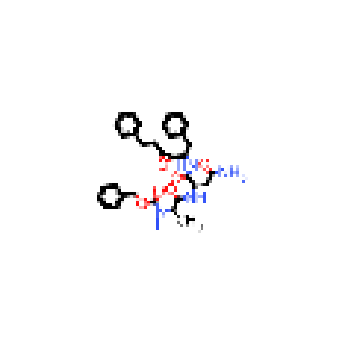 C[C@@H](NC(=O)OCc1ccccc1)C(=O)N[C@H](CC(N)=O)C(=O)NC(Cc1ccccc1)C1OC1CCc1ccccc1